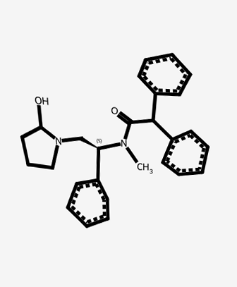 CN(C(=O)C(c1ccccc1)c1ccccc1)[C@H](CN1CCCC1O)c1ccccc1